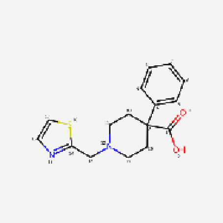 O=C(O)C1(c2ccccc2)CCN(Cc2nccs2)CC1